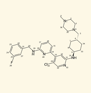 CN1CCN(C[C@H]2CC[C@H](Nc3cc(-c4cccc(NCc5cccc(F)c5)n4)c(Cl)cn3)CC2)CC1